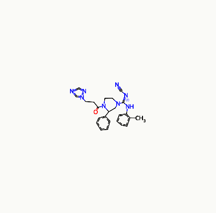 Cc1ccccc1N/C(=N/C#N)N1CCN(C(=O)CCn2cncn2)C(c2ccccc2)C1